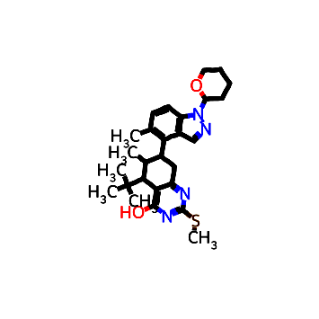 CSc1nc(O)c2c(n1)CC(c1c(C)ccc3c1cnn3C1CCCCO1)C(C)C2C(C)(C)C